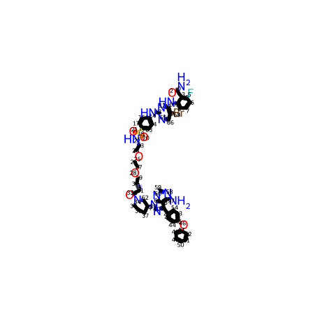 NC(=O)c1c(F)cccc1Nc1nc(Nc2ccc(S(=O)(=O)NCCOCCOC/C=C/C(=O)N3CCC[C@@H](n4nc(-c5ccc(Oc6ccccc6)cc5)c5c(N)ncnc54)C3)cc2)ncc1Br